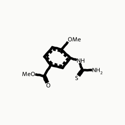 COC(=O)c1ccc(OC)c(NC(N)=S)c1